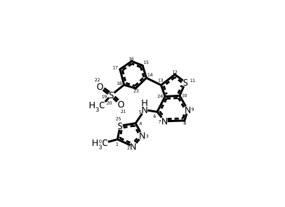 Cc1nnc(Nc2ncnc3scc(-c4cccc(S(C)(=O)=O)c4)c23)s1